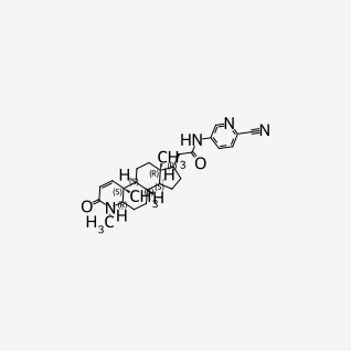 CN1C(=O)C=C[C@]2(C)[C@H]3CC[C@]4(C)[C@@H](CC(=O)Nc5ccc(C#N)nc5)CC[C@H]4[C@@H]3CC[C@@H]12